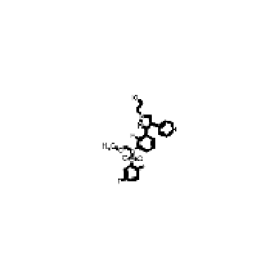 COCN(c1cccc(-c2nn(CCO)cc2-c2ccncc2)c1F)S(=O)(=O)c1cc(F)ccc1F